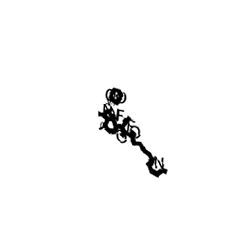 Cc1cccc(CCCCC(=O)c2oc3c(c2C(C)(F)F)C2=NN(C[C@H]4COCCO4)C(C)C2[C@H](C)C3)n1